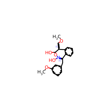 CO/C=C(/C(=O)O)c1ccccc1/C(Cc1cccc(OC)c1)=N/O